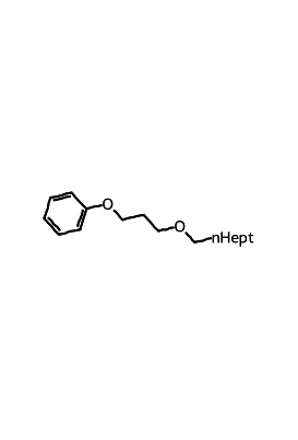 [CH2]CCCCCCCOCCCOc1ccccc1